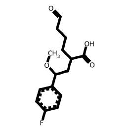 COC(CC(CCCC=O)C(=O)O)c1ccc(F)cc1